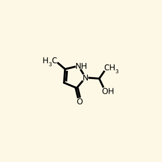 Cc1cc(=O)n(C(C)O)[nH]1